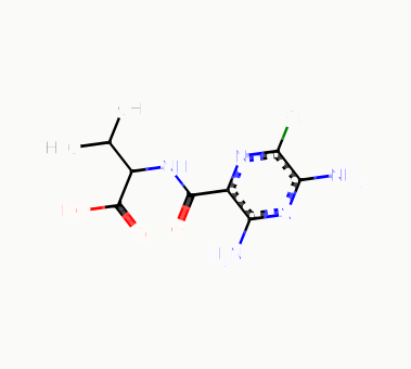 CC(C)C(NC(=O)c1nc(Cl)c(N)nc1N)C(=O)O